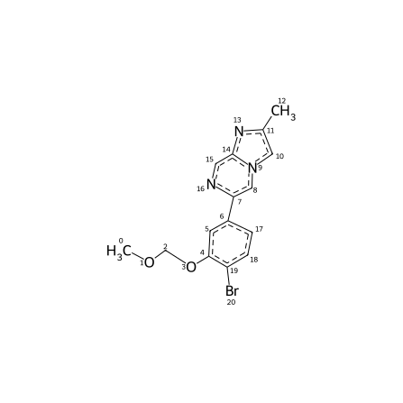 COCOc1cc(-c2cn3cc(C)nc3cn2)ccc1Br